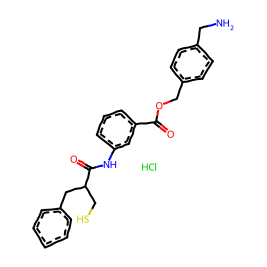 Cl.NCc1ccc(COC(=O)c2cccc(NC(=O)C(CS)Cc3ccccc3)c2)cc1